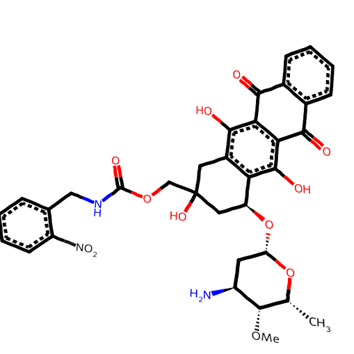 CO[C@@H]1[C@@H](N)C[C@H](O[C@H]2CC(O)(COC(=O)NCc3ccccc3[N+](=O)[O-])Cc3c(O)c4c(c(O)c32)C(=O)c2ccccc2C4=O)O[C@@H]1C